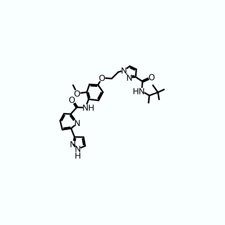 COc1cc(OCCn2ccc(C(=O)NC(C)C(C)(C)C)n2)ccc1NC(=O)c1cccc(-c2cc[nH]n2)n1